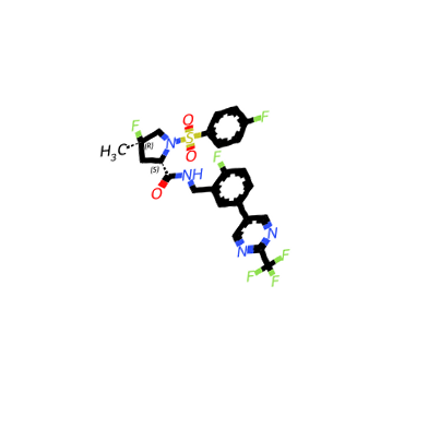 C[C@@]1(F)C[C@@H](C(=O)NCc2cc(-c3cnc(C(F)(F)F)nc3)ccc2F)N(S(=O)(=O)c2ccc(F)cc2)C1